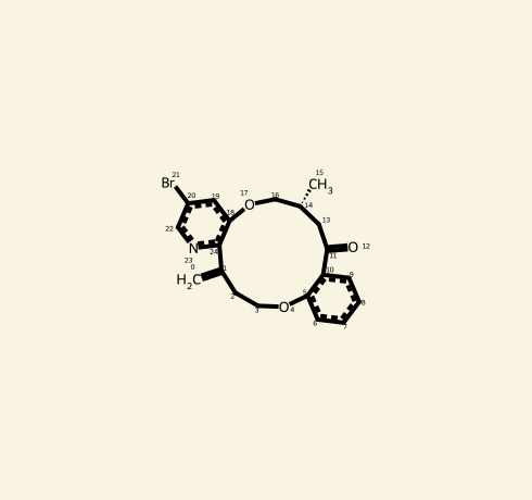 C=C1CCOc2ccccc2C(=O)C[C@@H](C)COc2cc(Br)cnc21